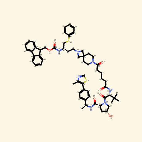 Cc1ncsc1-c1ccc([C@H](C)NC(=O)[C@@H]2C[C@@H](O)CN2C(=O)[C@@H](NC(=O)CCCCC(=O)N2CCC3(CC2)CN(CC[C@H](CSc2ccccc2)NC(=O)OCC2c4ccccc4-c4ccccc42)C3)C(C)(C)C)cc1